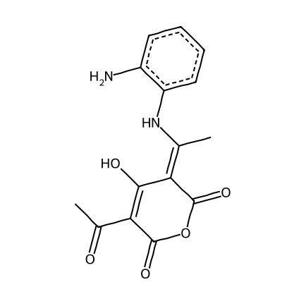 CC(=O)C1=C(O)C(=C(C)Nc2ccccc2N)C(=O)OC1=O